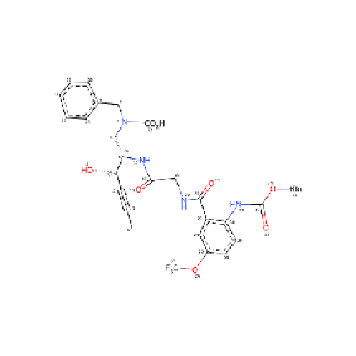 CC#C[C@H](O)[C@H](CN(Cc1ccccc1)C(=O)O)NC(=O)CNC(=O)c1cc(OC(F)(F)F)ccc1NC(=O)OC(C)(C)C